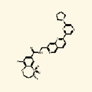 O=C(NCc1cc2nc(-c3cncc(N4CCCC4)n3)ccc2cn1)c1cc(F)c2c(c1)S(=O)(=O)[C@@H](F)CCO2